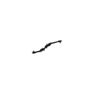 C=CC(=O)OCCCCCCCCCCCOc1ccc(OC(=O)c2ccc(C#CC(=O)Oc3ccc(OCCCCCCCOC(=O)C=C)cc3)nc2)cc1